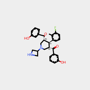 Cc1c(F)cccc1[C@@H]1[C@@H](C(=O)c2cccc(O)c2)CN(C2CNC2)C[C@H]1C(=O)c1cccc(O)c1